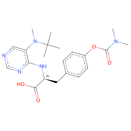 CN(C)C(=O)Oc1ccc(C[C@H](Nc2ncncc2N(C)C(C)(C)C)C(=O)O)cc1